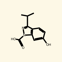 CC(C)c1nn(C(=O)O)c2cc(O)ccc12